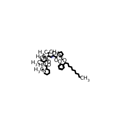 CCCCCCCCCC(OC(=O)[C@@H]1CCCN1C(=O)/C(C)=C/[C@H](C(C)C)N(C)C(=O)[C@@H](NC(=O)C1CCCCN1C)C(C)C)c1ccccc1